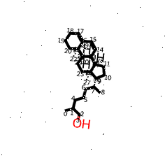 CC(CO)CCCC(C)[C@H]1CC[C@H]2[C@@H]3C=CC4=CCCC[C@]4(C)[C@H]3CC[C@]12C